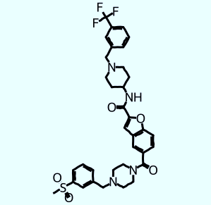 CS(=O)(=O)c1cccc(CN2CCN(C(=O)c3ccc4oc(C(=O)NC5CCN(Cc6cccc(C(F)(F)F)c6)CC5)cc4c3)CC2)c1